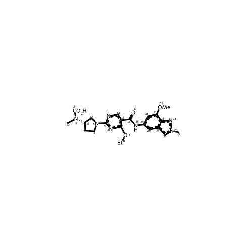 CCOc1nc(N2CC[C@H](N(C)C(=O)O)C2)ncc1C(=O)Nc1cc(OC)c2nn(C)cc2c1